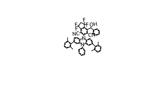 Cc1cccc(C)c1-c1ccc2c(c1)N(c1ccccc1)c1cc(-c3c(C)cccc3C)ccc1N2c1c(C#N)c(C(O)c2ccccc2)c2c(c1C#N)C(F)(F)CC2(F)F